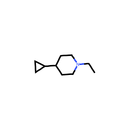 CCN1CCC(C2CC2)CC1